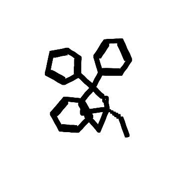 CC[C@]1(OC(c2ccccc2)(c2ccccc2)c2ccccc2)CO1